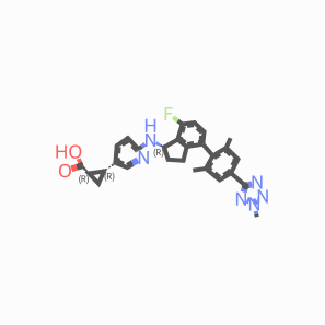 Cc1cc(-c2nnn(C)n2)cc(C)c1-c1ccc(F)c2c1CC[C@H]2Nc1ccc([C@@H]2C[C@H]2C(=O)O)cn1